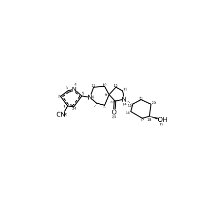 [C-]#[N+]c1ccnc(N2CCC3(CC2)CCN([C@H]2CC[C@H](O)CC2)C3=O)c1